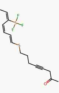 C\C=C(/C=C\C=C\SCCCC#CCC(C)=O)S(F)(F)F